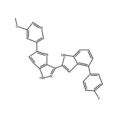 COc1cncc(-c2ccc3[nH]nc(-c4cc5c(-c6ccc(F)cc6)cccc5[nH]4)c3n2)c1